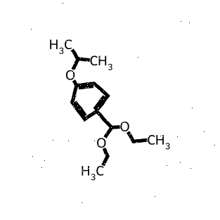 CCOC(OCC)c1ccc(OC(C)C)cc1